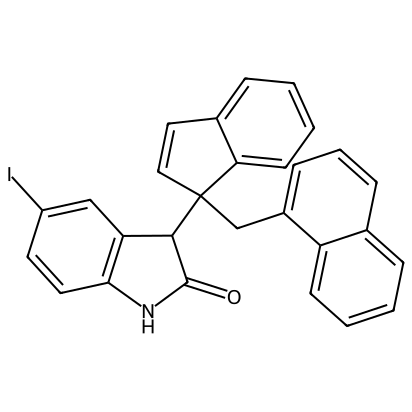 O=C1Nc2ccc(I)cc2C1C1(Cc2cccc3ccccc23)C=Cc2ccccc21